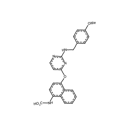 COc1ccc(CNc2nccc(Oc3ccc(NC(=O)O)c4ccccc34)n2)cc1